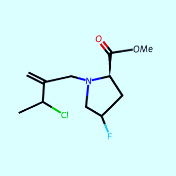 C=C(CN1CC(F)C[C@@H]1C(=O)OC)C(C)Cl